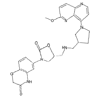 COc1ccc2nccc(N3CCC(CNC[C@@H]4CN(c5ccc6c(c5)NC(=O)CO6)C(=O)O4)C3)c2n1